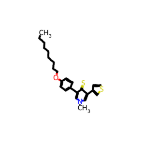 CCCCCCCCCOc1ccc(-c2cn(C)cc(-c3ccsc3)c2=S)cc1